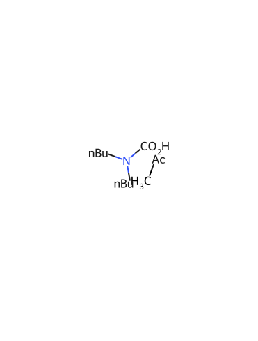 CC(C)=O.CCCCN(CCCC)C(=O)O